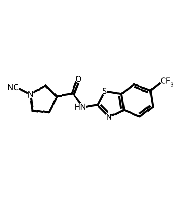 N#CN1CCC(C(=O)Nc2nc3ccc(C(F)(F)F)cc3s2)C1